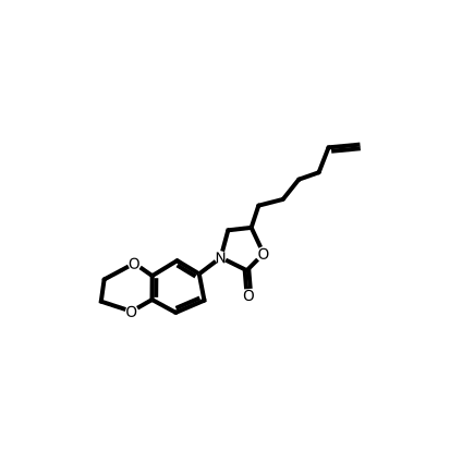 C=CCCCCC1CN(c2ccc3c(c2)OCCO3)C(=O)O1